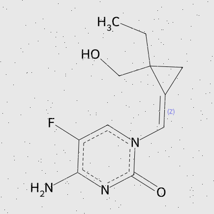 CCC1(CO)C/C1=C/n1cc(F)c(N)nc1=O